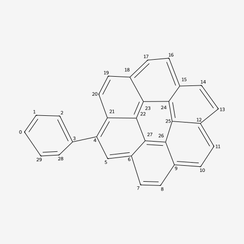 c1ccc(-c2cc3ccc4ccc5ccc6ccc7ccc2c2c7c6c5c4c32)cc1